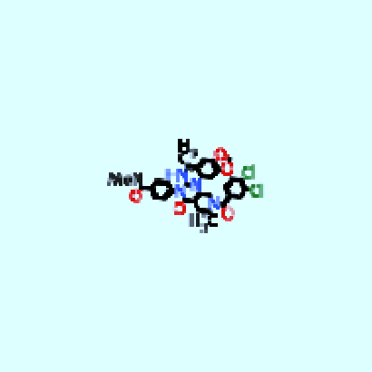 CNC(=O)c1ccc(-n2c(N[C@H](C)c3ccc4c(c3)OCO4)nc3c(c2=O)C[C@@H](C)N(C(=O)c2ccc(Cl)c(Cl)c2)C3)cc1